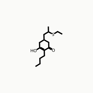 CCCCC1=C(O)CC(CC(C)SCC)CC1=O